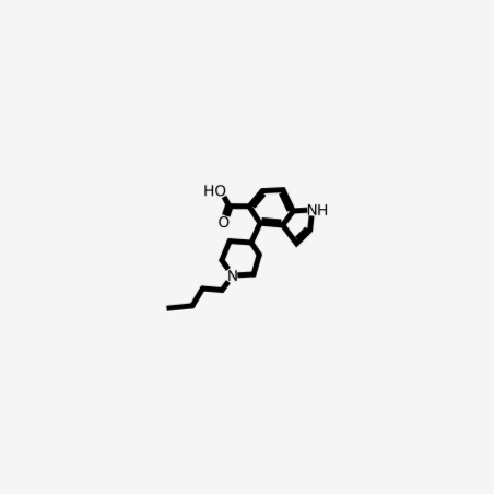 CCCCN1CCC(c2c(C(=O)O)ccc3[nH]ccc23)CC1